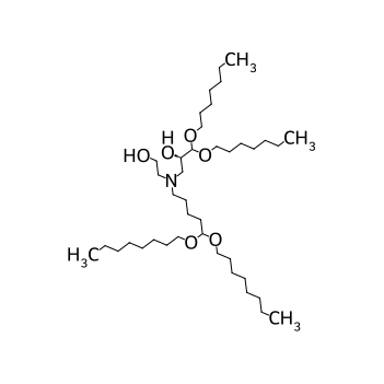 CCCCCCCCOC(CCCCN(CCO)C[C@@H](O)C(OCCCCCCC)OCCCCCCC)OCCCCCCCC